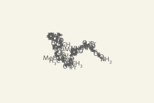 CC[C@H](C)C([C@@H](CC(=O)N1CCC[C@H]1[C@H](OC)[C@@H](C)C(=O)N[C@@H](Cc1ccccc1)c1nccs1)OC)N(C)C(=O)CNC(=O)C(C(C)C)N(C)C(=O)OCc1ccc(NC(=O)CNC(=O)C(NC(=O)CCOCCON)C(C)C)cc1